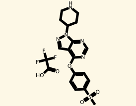 CS(=O)(=O)c1ccc(Oc2ncnc3c2cnn3C2CCNCC2)cc1.O=C(O)C(F)(F)F